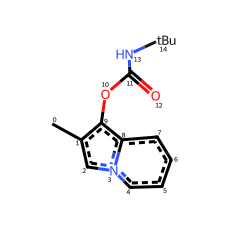 Cc1cn2ccccc2c1OC(=O)NC(C)(C)C